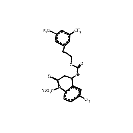 CCOC(=O)N1c2ccc(C(F)(F)F)cc2C(NC(=O)OCCc2cc(C(F)(F)F)cc(C(F)(F)F)c2)CC1CC